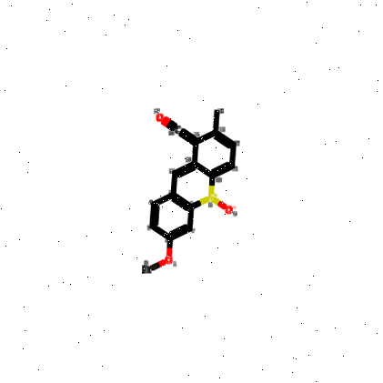 CCOc1ccc2c(c1)[S+]([O-])c1ccc(C)c(=C=O)c1=C2